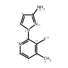 Cc1ccnc(-n2ccc(N)n2)c1F